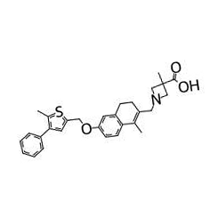 CC1=C(CN2CC(C)(C(=O)O)C2)CCc2cc(OCc3cc(-c4ccccc4)c(C)s3)ccc21